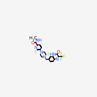 CNC(=O)c1ccc(N2CCN(Cc3ccc4nc(C(F)(F)F)c(=O)[nH]c4c3F)CC2)c(F)n1